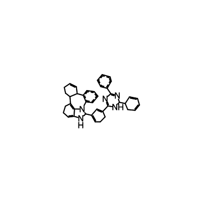 C1=CCC(C2N=C(c3ccccc3)N=C(C3=CC(C4NC5=CCCC6=C5N4c4ccccc4C4C=CCCC64)=CCC3)N2)C=C1